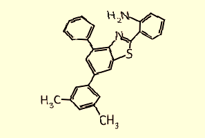 Cc1cc(C)cc(-c2cc(-c3ccccc3)c3nc(-c4ccccc4N)sc3c2)c1